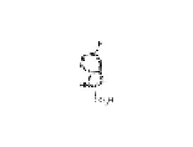 O=C(O)c1[c]c2cc(F)ccc2[nH]1